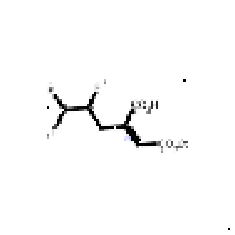 CCOC(=O)/C=C(/CC(F)C(F)F)C(=O)O